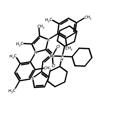 Cc1cc(C)c(-n2c(C)c(C)n(-c3c(C)cc(C)cc3C)[c]2=[Ru]([Cl])([Cl])(=[CH]c2cccs2)[PH](C2CCCCC2)(C2CCCCC2)C2CCCCC2)c(C)c1